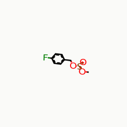 COS(=O)OCc1ccc(F)cc1